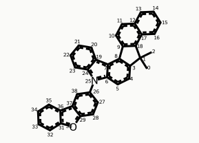 CC1(C)c2ccc3c(c2-c2ccc4ccccc4c21)c1ccccc1n3-c1ccc2oc3ccccc3c2c1